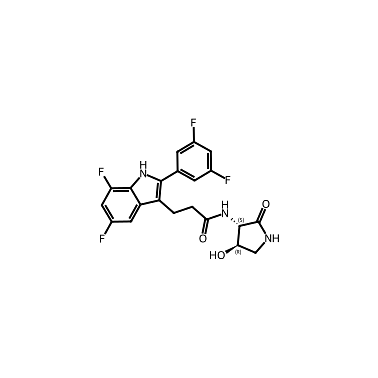 O=C(CCc1c(-c2cc(F)cc(F)c2)[nH]c2c(F)cc(F)cc12)N[C@@H]1C(=O)NC[C@H]1O